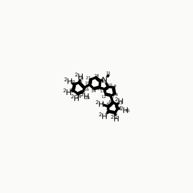 [2H]c1c([2H])c([2H])c(-c2ccc3c(c2)c2cc(-c4c([2H])c([2H])c([2H])c([2H])c4[2H])ccc2n3C)c([2H])c1[2H]